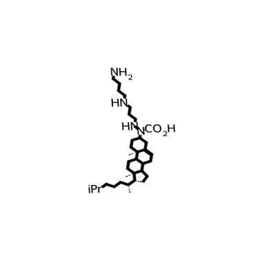 CC(C)CCC[C@@H](C)[C@H]1CCC2C3CC=C4CC(N(NCCCNCCCCN)C(=O)O)CC[C@]4(C)C3CC[C@@]21C